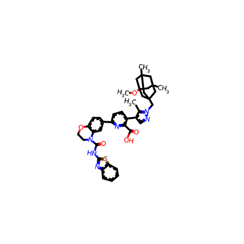 COC12CC3(C)CC(C)(CC(Cn4ncc(-c5ccc(-c6ccc7c(c6)N(C(=O)Nc6nc8ccccc8s6)CCO7)nc5C(=O)O)c4C)(C3)C1)C2